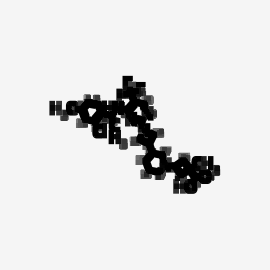 Cc1ccc(C(C)Nc2nc(N3CC(C4CCCN(C5CC(C)(C(=O)O)C5)C4)C3)ncc2C(F)(F)F)c(Cl)c1